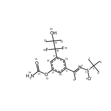 CC(=N[S+]([O-])C(C)(C)C)c1cc(OC(N)=O)cc(C(F)(F)C(C)(C)O)c1